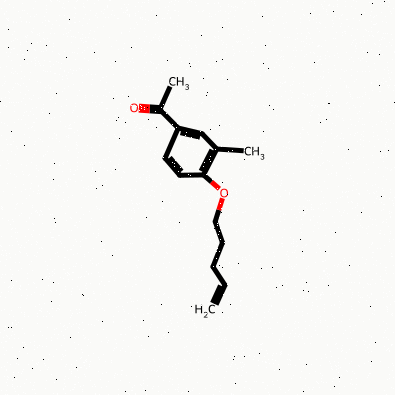 C=CCCCOc1ccc(C(C)=O)cc1C